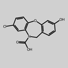 O=C(O)N1Cc2ccc(O)cc2Oc2ccc(Cl)cc21